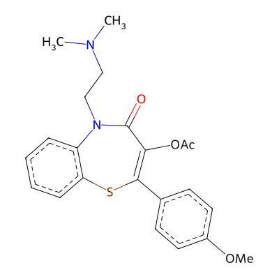 COc1ccc(C2=C(OC(C)=O)C(=O)N(CCN(C)C)c3ccccc3S2)cc1